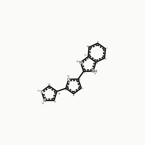 c1ccc2[nH]c(-c3ccc(-c4cnsc4)o3)nc2c1